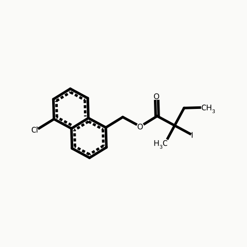 CCC(C)(I)C(=O)OCc1cccc2c(Cl)cccc12